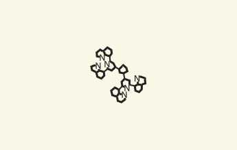 c1cc(-c2cc(-c3cccc4cccnc34)nc(-c3cccc4cccnc34)c2)cc(-c2cc(-c3cccc4cccnc34)nc(-c3cccc4cccnc34)c2)c1